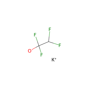 [K+].[O-]C(F)(F)C(F)F